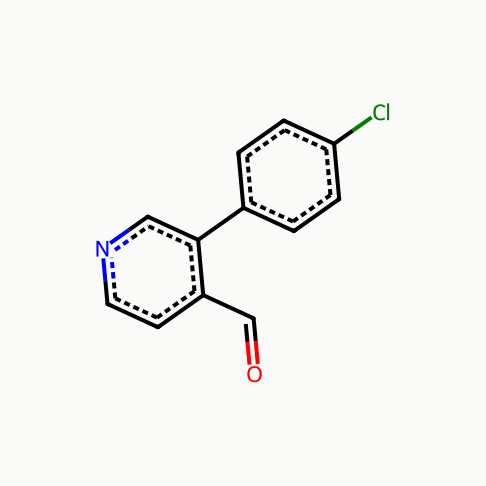 O=Cc1ccncc1-c1ccc(Cl)cc1